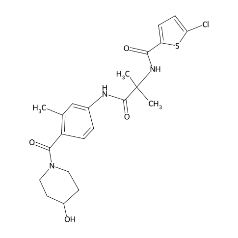 Cc1cc(NC(=O)C(C)(C)NC(=O)c2ccc(Cl)s2)ccc1C(=O)N1CCC(O)CC1